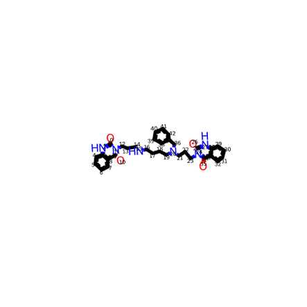 O=c1[nH]c2ccccc2c(=O)n1CCCNCCCCN(CCCn1c(=O)[nH]c2ccccc2c1=O)Cc1ccccc1